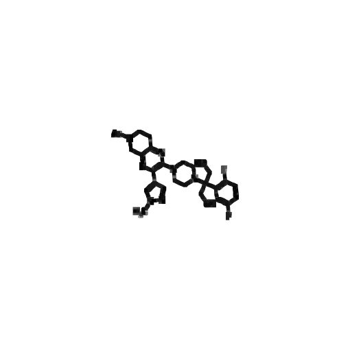 CC(=O)N1CCc2nc(N3CCN(C(CO)(CO)c4cc(F)ccc4F)CC3)c(-c3cnn(C)c3)nc2C1